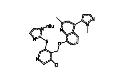 CCCCn1ccnc1Sc1cncc(Cl)c1COc1cccc2c(-c3ccnn3C)cc(C)nc12